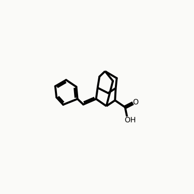 O=C(O)C1C2CC3CC(C2)C(=Cc2ccccc2)C1C3